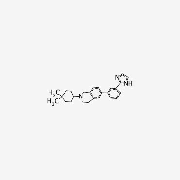 CC1(C)CCC(N2CCc3cc(-c4cccc(-c5ncc[nH]5)c4)ccc3C2)CC1